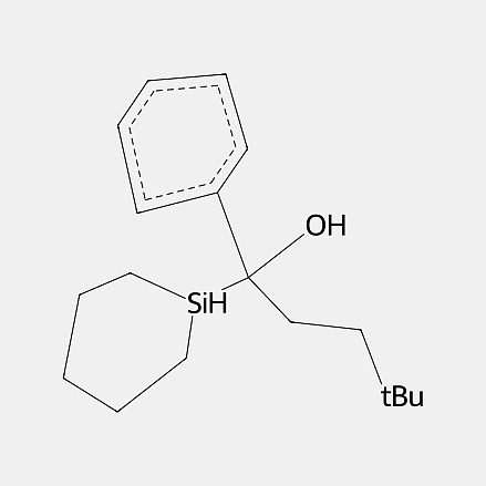 CC(C)(C)CCC(O)(c1ccccc1)[SiH]1CCCCC1